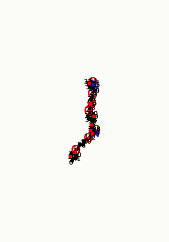 Cc1ccc(OCCCCCOCc2cc(CCc3ccc(OCCOCCOCc4cc(C)on4)cc3)on2)cc1